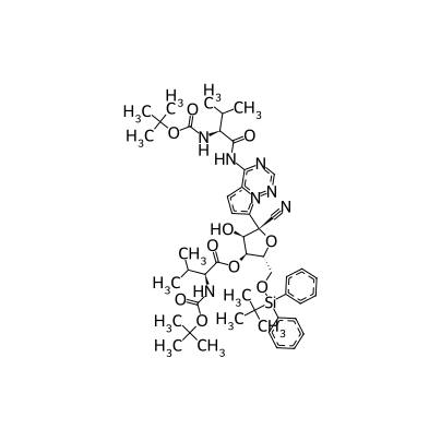 CC(C)[C@H](NC(=O)OC(C)(C)C)C(=O)Nc1ncnn2c([C@]3(C#N)O[C@H](CO[Si](c4ccccc4)(c4ccccc4)C(C)(C)C)[C@@H](OC(=O)[C@@H](NC(=O)OC(C)(C)C)C(C)C)[C@H]3O)ccc12